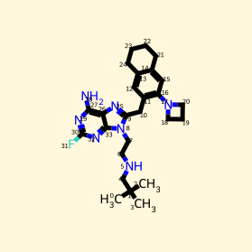 CC(C)(C)CNCCn1c(Cc2cc3c(cc2N2CCC2)CCCC3)nc2c(N)nc(F)nc21